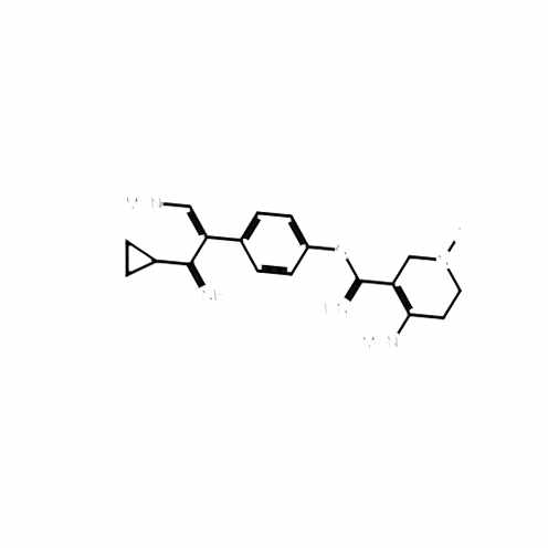 CN/C=C(\C(=N)C1CC1)c1ccc(NC(=N)C2=C(NC)CCN(C(C)=O)C2)cc1